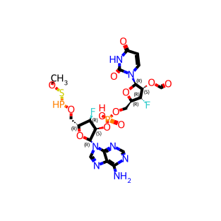 COSPOC[C@H]1O[C@@H](n2cnc3c(N)ncnc32)[C@H](OP(=O)(O)OC[C@H]2O[C@@H](n3ccc(=O)[nH]c3=O)[C@H](OC=O)[C@@H]2F)[C@@H]1F